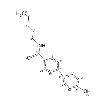 CCCCCNC(=O)c1ccc(-c2ccc(O)cc2)cc1